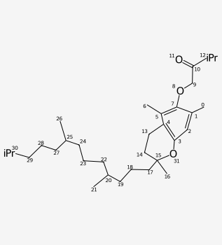 Cc1cc2c(c(C)c1OCC(=O)C(C)C)CCC(C)(CCCC(C)CCCC(C)CCCC(C)C)O2